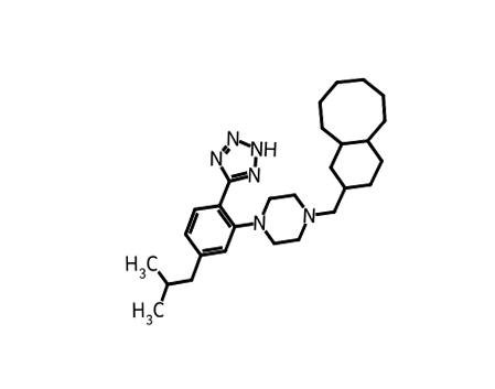 CC(C)Cc1ccc(-c2nn[nH]n2)c(N2CCN(CC3CCC4CCCCCCC4C3)CC2)c1